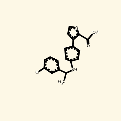 CC(Nc1ccc(-c2ccoc2C(=O)O)cc1)c1cccc(Cl)c1